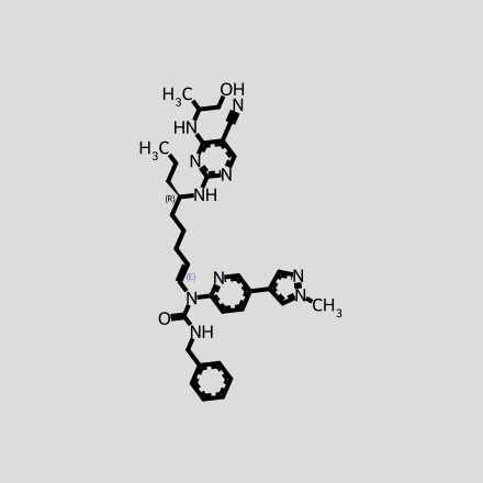 CCC[C@H](CCC/C=C/N(C(=O)NCc1ccccc1)c1ccc(-c2cnn(C)c2)cn1)Nc1ncc(C#N)c(NC(C)CO)n1